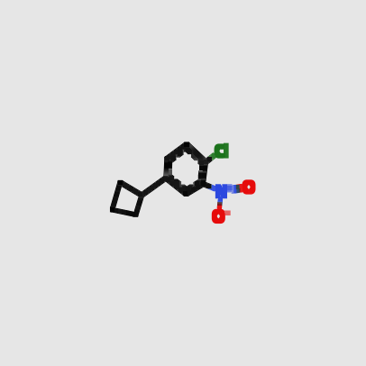 O=[N+]([O-])c1cc(C2CCC2)ccc1Cl